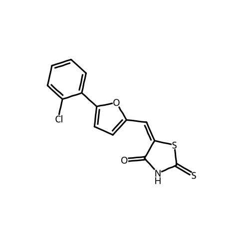 O=C1NC(=S)S/C1=C/c1ccc(-c2ccccc2Cl)o1